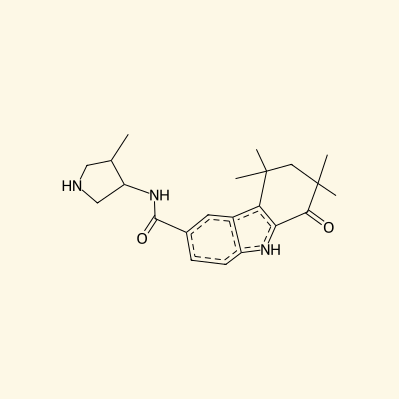 CC1CNCC1NC(=O)c1ccc2[nH]c3c(c2c1)C(C)(C)CC(C)(C)C3=O